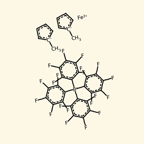 C[c-]1cccc1.C[c-]1cccc1.Fc1c(F)c(F)c([B-](c2c(F)c(F)c(F)c(F)c2F)(c2c(F)c(F)c(F)c(F)c2F)c2c(F)c(F)c(F)c(F)c2F)c(F)c1F.[Fe+2]